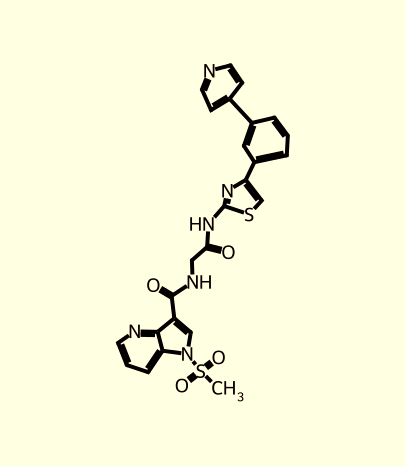 CS(=O)(=O)n1cc(C(=O)NCC(=O)Nc2nc(-c3cccc(-c4ccncc4)c3)cs2)c2ncccc21